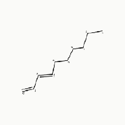 C=C/C=[C]/CCCCCC